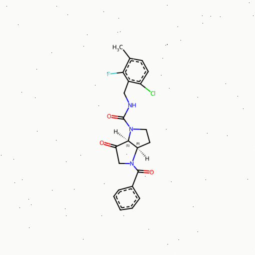 Cc1ccc(Cl)c(CNC(=O)N2CC[C@@H]3[C@H]2C(=O)CN3C(=O)c2ccccc2)c1F